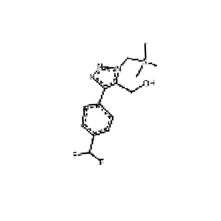 C[Si](C)(C)Cn1nnc(-c2ccc(C(F)F)cc2)c1CO